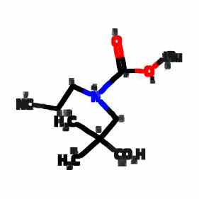 CC(C)(C)OC(=O)N(CCC#N)CC(C)(C)C(=O)O